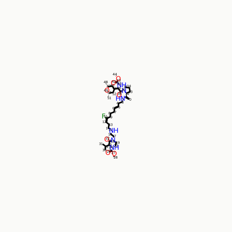 C=C(NCC/C=C/CCC/C(F)=C\CCNCCN(CC)C(=O)[C@@H](NC(=O)OC)C(C)C)[C@@H]1CCCN1C(=O)C(NC(=O)OC)C1C[C@@H](C)O[C@@H](C)C1